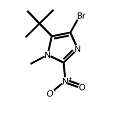 Cn1c([N+](=O)[O-])nc(Br)c1C(C)(C)C